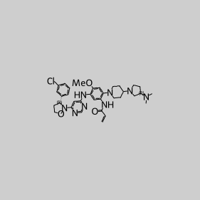 C=CC(=O)Nc1cc(Nc2cc(N3OCC[C@@H]3c3cccc(Cl)c3)ncn2)c(OC)cc1N1CCC(N2CC[C@@H](N(C)C)C2)CC1